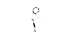 COC(=O)C#CC(=O)Nc1ccccc1